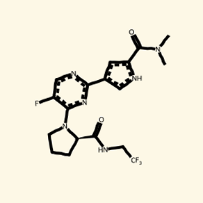 CN(C)C(=O)c1cc(-c2ncc(F)c(N3CCC[C@@H]3C(=O)NCC(F)(F)F)n2)c[nH]1